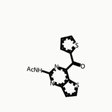 CC(=O)Nc1nc(C(=O)c2cccs2)c2sccc2n1